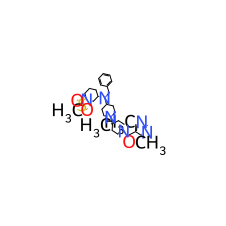 Cc1ncnc(C)c1C(=O)N1CCC(C)(N2CCC(N(Cc3ccccc3)C3CCCN(S(C)(=O)=O)C3)CC2)CC1